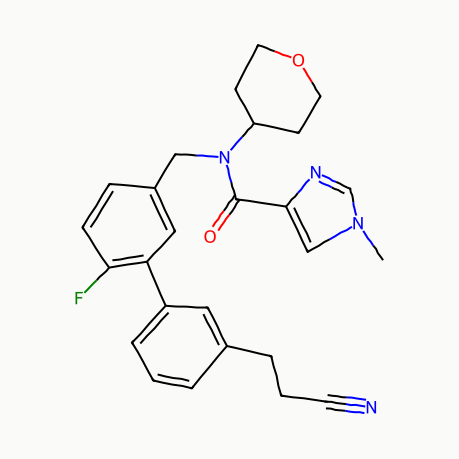 Cn1cnc(C(=O)N(Cc2ccc(F)c(-c3cccc(CCC#N)c3)c2)C2CCOCC2)c1